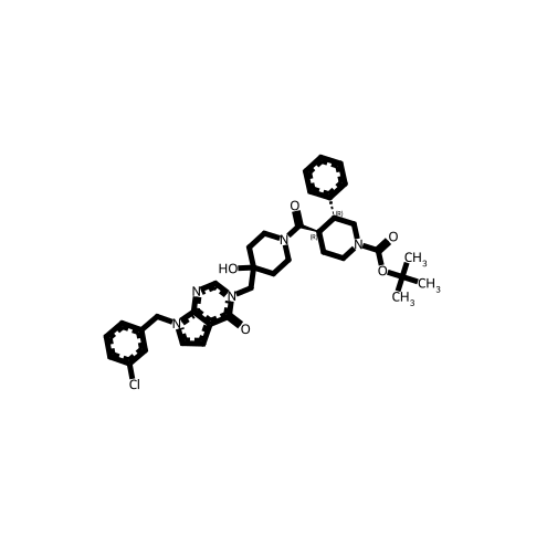 CC(C)(C)OC(=O)N1CC[C@@H](C(=O)N2CCC(O)(Cn3cnc4c(ccn4Cc4cccc(Cl)c4)c3=O)CC2)[C@H](c2ccccc2)C1